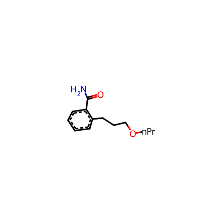 CCCOCCCc1ccccc1C(N)=O